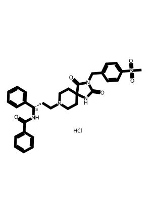 CS(=O)(=O)c1ccc(CN2C(=O)NC3(CCN(CC[C@H](NC(=O)c4ccccc4)c4ccccc4)CC3)C2=O)cc1.Cl